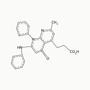 Cc1cc(CCC(=O)O)c2c(=O)cc(Nc3ccccc3)n(-c3ccccc3)c2n1